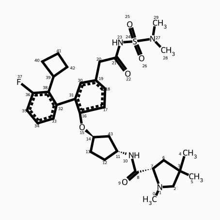 CN1CC(C)(C)C[C@H]1C(=O)N[C@@H]1CC[C@@H](Oc2ccc(CC(=O)NS(=O)(=O)N(C)C)cc2-c2cccc(F)c2C2CCC2)C1